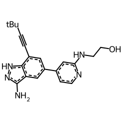 CC(C)(C)C#Cc1cc(-c2ccnc(NCCO)c2)cc2c(N)n[nH]c12